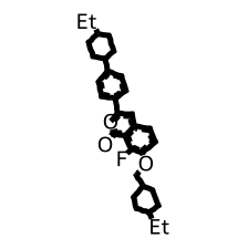 CCC1CCC(COc2ccc3cc(-c4ccc(C5CCC(CC)CC5)cc4)oc(=O)c3c2F)CC1